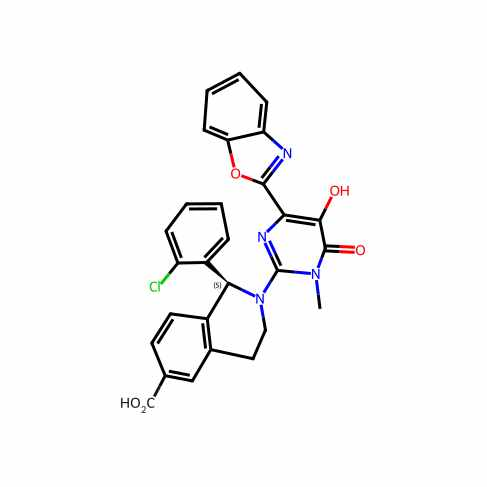 Cn1c(N2CCc3cc(C(=O)O)ccc3[C@H]2c2ccccc2Cl)nc(-c2nc3ccccc3o2)c(O)c1=O